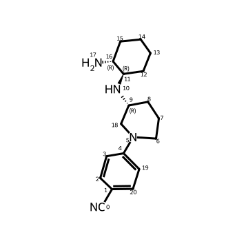 N#Cc1ccc(N2CCC[C@@H](N[C@@H]3CCCC[C@H]3N)C2)cc1